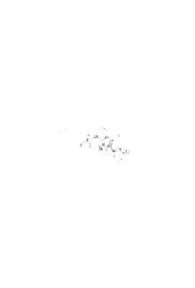 CCCCC(=O)c1cccc(C(=O)Nc2cccc(C)n2)c1N